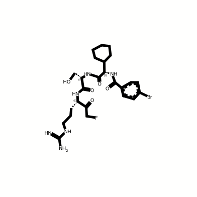 N=C(N)NCCC[C@H](NC(=O)[C@H](CO)NC(=O)[C@@H](NC(=O)c1ccc(Br)cc1)C1CCCCC1)C(=O)CF